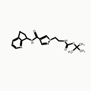 CC(C)(C)OC(=O)NCCn1cc(C(=O)NC2CCc3cccnc32)cn1